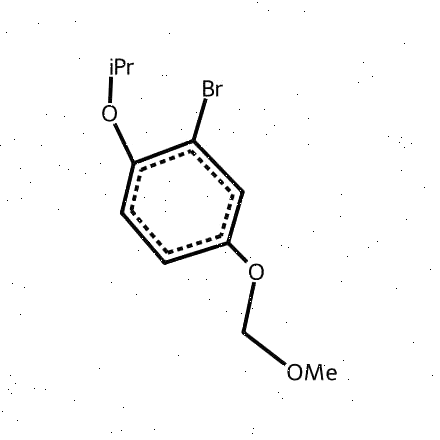 COCOc1ccc(OC(C)C)c(Br)c1